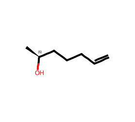 C=CCCC[C@H](C)O